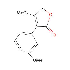 COC1=C(c2cccc(OC)c2)C(=O)OC1